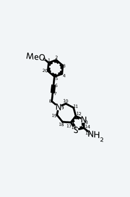 COc1cccc(C#CCN2CCc3nc(N)sc3CC2)c1